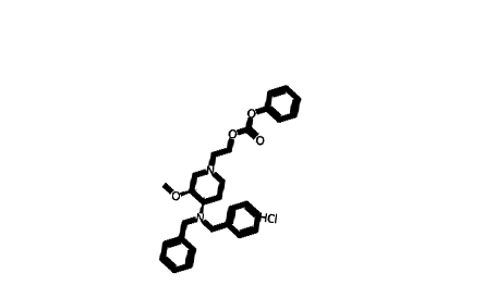 CO[C@H]1CN(CCOC(=O)Oc2ccccc2)CC[C@H]1N(Cc1ccccc1)Cc1ccccc1.Cl